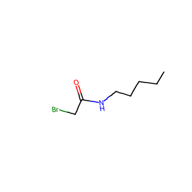 CCCCCNC(=O)CBr